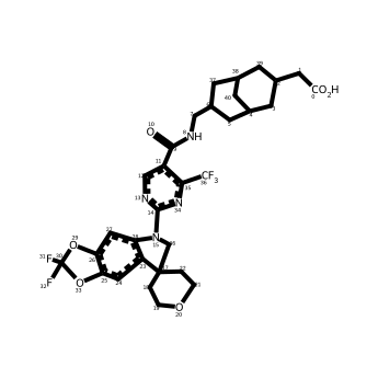 O=C(O)CC1CC2CC(CNC(=O)c3cnc(N4CC5(CCOCC5)c5cc6c(cc54)OC(F)(F)O6)nc3C(F)(F)F)CC(C1)C2